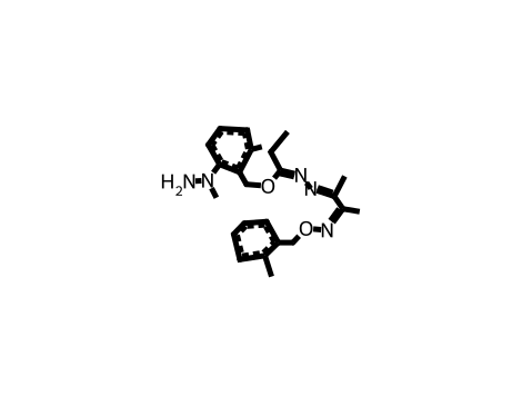 CCC(=NN=C(C)/C(C)=N\OCc1ccccc1C)OCc1c(C)cccc1N(C)N